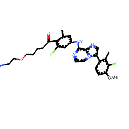 COc1ccc(-c2cnc3c(Nc4cc(C)c(C(=O)CCCCOCCN)c(F)c4)nccn23)c(C)c1F